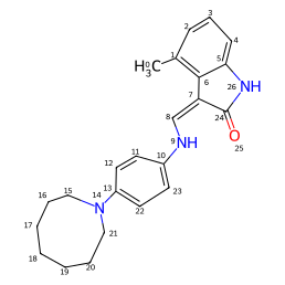 Cc1cccc2c1C(=CNc1ccc(N3CCCCCCC3)cc1)C(=O)N2